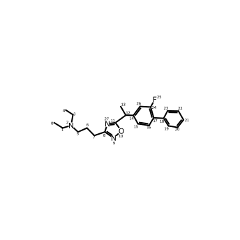 CCN(CC)CCCc1noc(C(C)c2ccc(-c3ccccc3)c(F)c2)n1